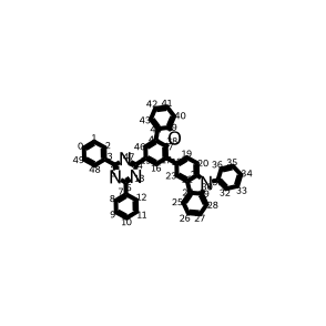 c1ccc(-c2nc(-c3ccccc3)nc(-c3cc(-c4ccc5c(c4)c4ccccc4n5-c4ccccc4)c4oc5ccccc5c4c3)n2)cc1